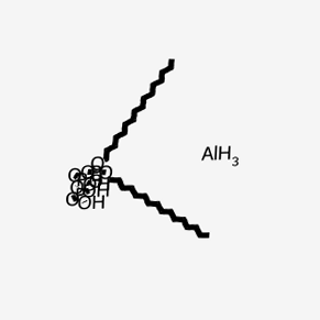 CCCCCCCCCCCCCCCCOP(=O)(OCCCCCCCCCCCCCCCC)OP(=O)(O)OP(=O)(O)O.[AlH3]